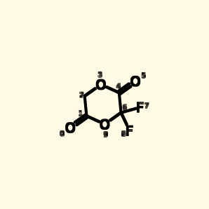 O=C1COC(=O)C(F)(F)O1